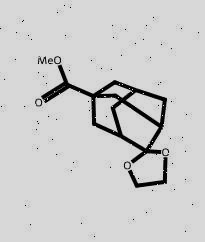 COC(=O)C12CC3CC(C1)C1(OCCO1)C(C3)C2